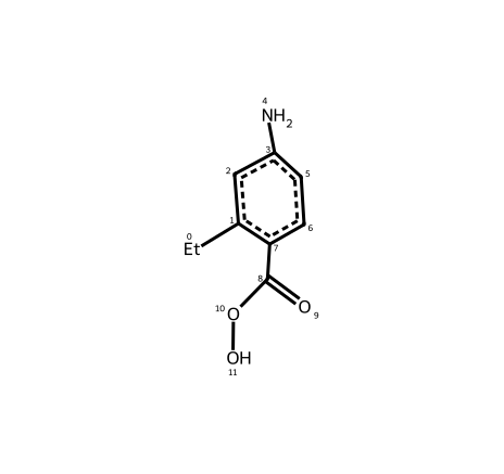 CCc1cc(N)ccc1C(=O)OO